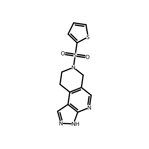 O=S(=O)(c1cccs1)N1CCc2c(cnc3[nH]ncc23)C1